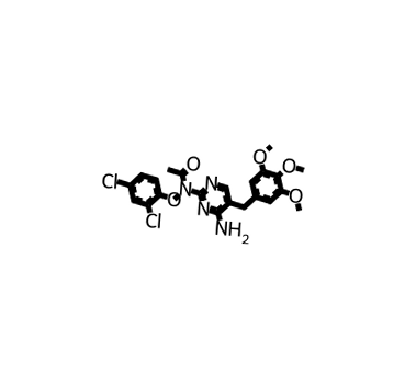 COc1cc(Cc2cnc(N(Oc3ccc(Cl)cc3Cl)C(C)=O)nc2N)cc(OC)c1OC